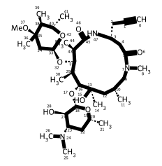 C#CC[C@@H]1CC(=O)N(C)C[C@H](C)C[C@@](C)(O)[C@H](O[C@@H]2O[C@H](C)C[C@H](N(C)C)[C@H]2O)[C@@H](C)[C@H](O[C@H]2C[C@@](C)(OC)[C@@H](C)[C@H](C)O2)[C@@H](C)C(=O)N1